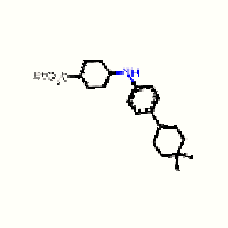 CCOC(=O)C1CCC(Nc2ccc(C3CCC(C)(C)CC3)cc2)CC1